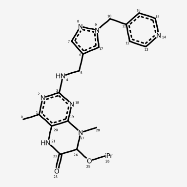 Cc1nc(NCc2cnn(Cc3ccncc3)c2)nc2c1NC(=O)C(OC(C)C)N2C